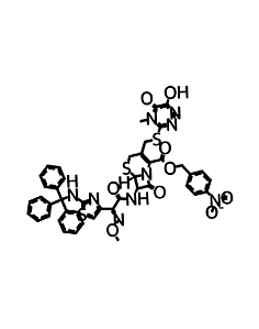 CON=C(C(=O)NC1C(=O)N2C(C(=O)OCc3ccc([N+](=O)[O-])cc3)=C(CSc3nnc(O)c(=O)n3C)CS[C@@H]12)c1csc(NC(c2ccccc2)(c2ccccc2)c2ccccc2)n1